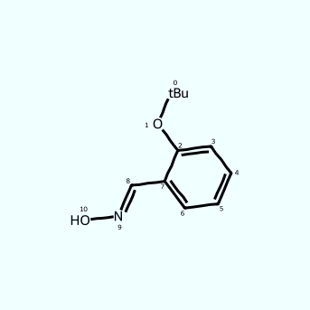 CC(C)(C)Oc1ccccc1C=NO